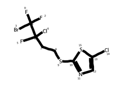 FC(F)(Br)C(F)(Cl)CCSc1ncc(Cl)s1